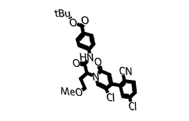 COCCC(C(=O)Nc1ccc(C(=O)OC(C)(C)C)cc1)n1cc(Cl)c(-c2cc(Cl)ccc2C#N)cc1=O